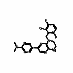 CN(C)c1ncc(-c2cnc3c(n2)N(Cc2c(F)ccc(F)c2Cl)CCN3)cn1